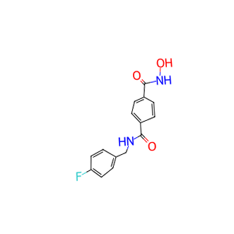 O=C(NO)c1ccc(C(=O)NCc2ccc(F)cc2)cc1